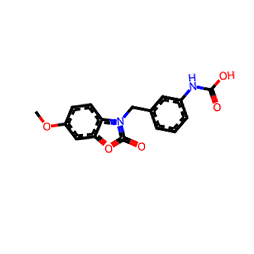 COc1ccc2c(c1)oc(=O)n2Cc1cccc(NC(=O)O)c1